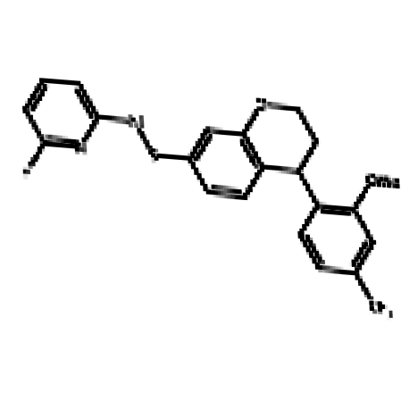 COc1cc(C(F)(F)F)ccc1C1CCOc2cc(SNc3cccc(F)n3)ccc21